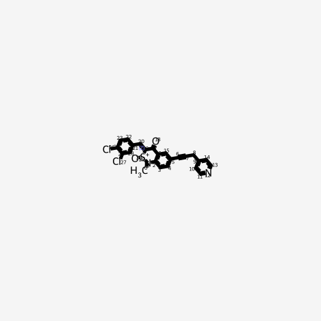 CN1c2ccc(C#CCc3ccncc3)cc2C(=O)/C(=C/c2ccc(Cl)c(Cl)c2)[S+]1[O-]